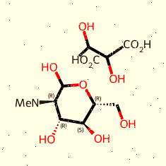 CN[C@H]1C(O)O[C@H](CO)[C@@H](O)[C@@H]1O.O=C(O)C(O)C(O)C(=O)O